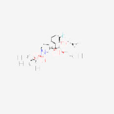 CCCCC[C@@](O)(c1cccc(F)c1OCC1CC1)[C@@H]1CCCN(C(=O)OC(C)(C)C)C1